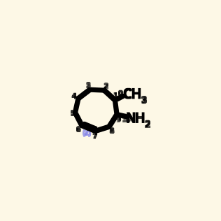 CC1CCCC/C=C\CC1N